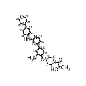 C[C@@H](O)C(=O)N1CCC(Oc2ccc(-c3ccnc(Nc4ccc(N5CCOCC5)cc4)n3)cc2N)CC1